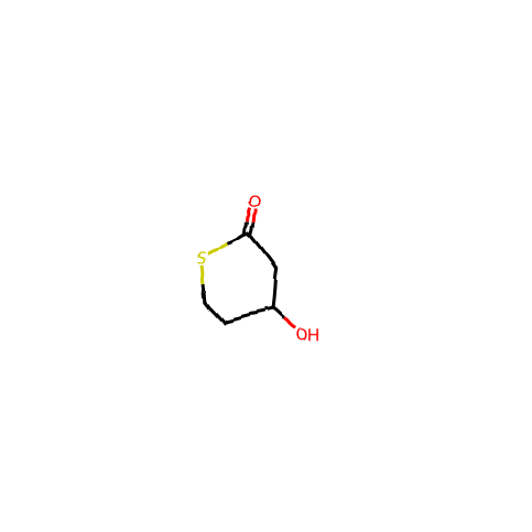 O=C1CC(O)CCS1